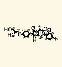 CC(C)C(C(=O)Nc1ccc(I)cc1Cl)N1C(=O)N[C@H](c2ccc(OC[C@@H](O)CO)cc2)C1=O